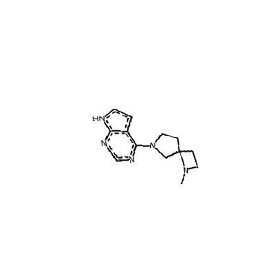 CN1CCC12CCN(c1ncnc3[nH]ccc13)C2